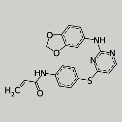 C=CC(=O)Nc1ccc(Sc2ccnc(Nc3ccc4c(c3)OCO4)n2)cc1